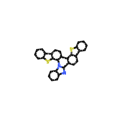 c1ccc2c(c1)nc1c3ccc4c5ccccc5sc4c3c3ccc4c5ccccc5sc4c3n21